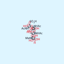 CN[C@H]1[C@@H](O[C@H]2C(O)[C@@H](NC(C)=O)[C@H](O[C@H]3[C@H](O)[C@@H](NC(C)=O)[C@@H](O[C@H]4C(O)[C@@H](NC(C)=O)C(O)O[C@@H]4COS(=O)(=O)O)O[C@@H]3CO)O[C@@H]2CO)O[C@H](CO)[C@@H](O)[C@@H]1O